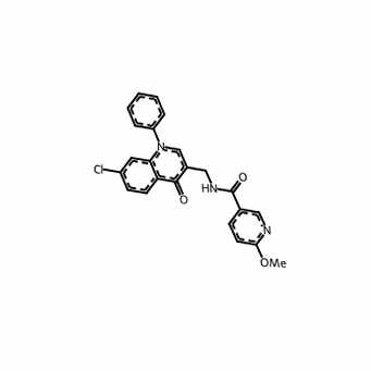 COc1ccc(C(=O)NCc2cn(-c3ccccc3)c3cc(Cl)ccc3c2=O)cn1